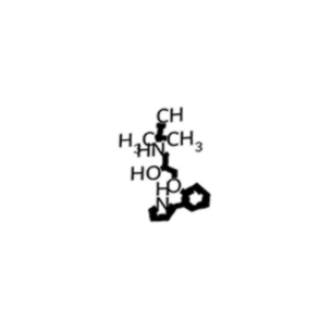 C#CC(C)(C)NCC(O)COc1ccccc1-c1ccc[nH]1